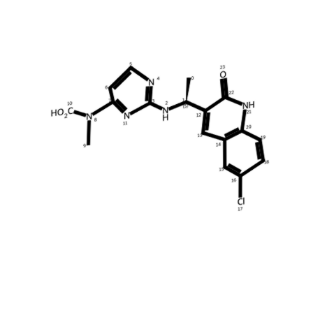 C[C@H](Nc1nccc(N(C)C(=O)O)n1)c1cc2cc(Cl)ccc2[nH]c1=O